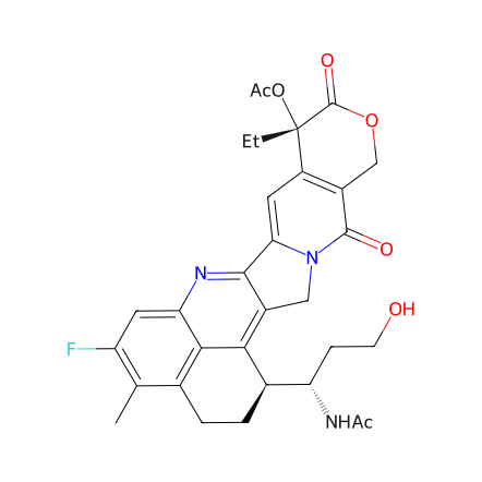 CC[C@@]1(OC(C)=O)C(=O)OCc2c1cc1n(c2=O)Cc2c-1nc1cc(F)c(C)c3c1c2[C@@H]([C@H](CCO)NC(C)=O)CC3